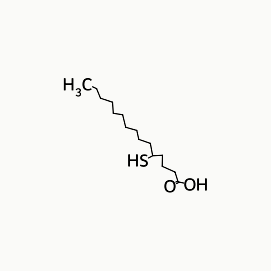 CCCCCCCCCCC(S)CCCC(=O)O